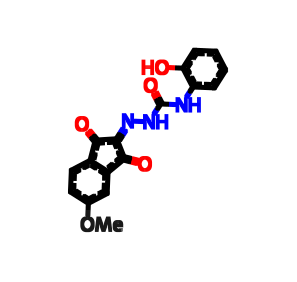 COc1ccc2c(=O)c(=NNC(=O)Nc3ccccc3O)c(=O)c2c1